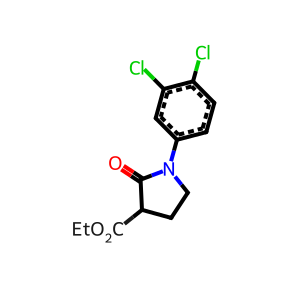 CCOC(=O)C1CCN(c2ccc(Cl)c(Cl)c2)C1=O